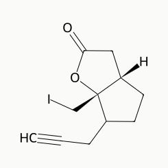 C#CCC1CC[C@H]2CC(=O)O[C@@]12CI